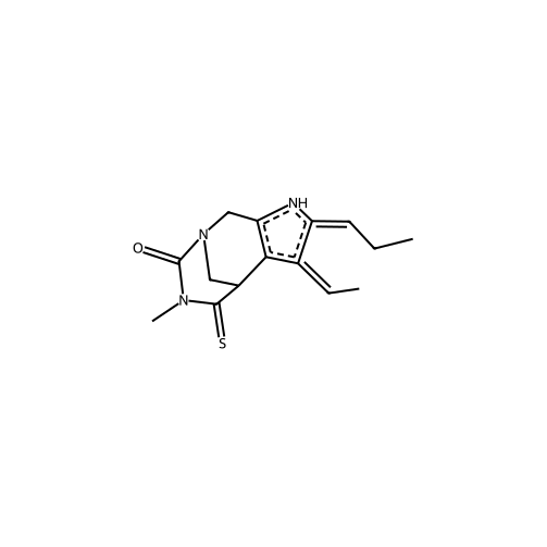 C/C=c1/c2c([nH]/c1=C/CC)CN1CC2C(=S)N(C)C1=O